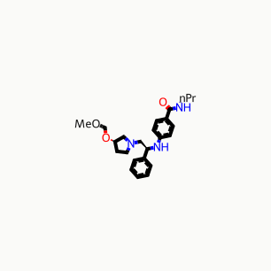 CCCNC(=O)c1ccc(N[C@H](CN2CC[C@H](OCOC)C2)c2ccccc2)cc1